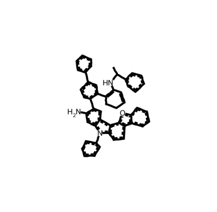 CC(NC1=C(c2cc(-c3ccccc3)ccc2-c2cc3c4c5oc6ccccc6c5ccc4n(-c4ccccc4)c3cc2N)CCC=C1)c1ccccc1